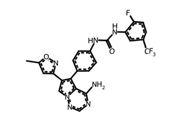 Cc1cc(-c2cn3ncnc(N)c3c2-c2ccc(NC(=O)Nc3cc(C(F)(F)F)ccc3F)cc2)no1